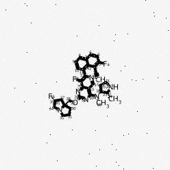 C#Cc1c(F)ccc2cccc(-c3ncc4c(N(C)[C@@H]5CCN[C@@H]5C)nc(OC[C@@]56CCCN5C[C@H](F)C6)nc4c3F)c12